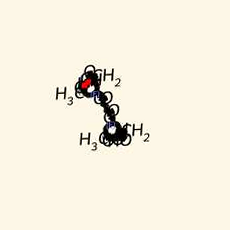 C=C1C(=O)O[C@H]2[C@H]1CC/C(COC(=O)CCCC(=O)OC/C1=C/CC[C@@]3(C)O[C@H]3[C@H]3OC(=O)C(=C)[C@@H]3CC1)=C\CC[C@@]1(C)O[C@@H]21